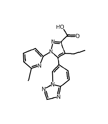 CCc1c(C(=O)O)nn(-c2cccc(C)n2)c1-c1ccc2ncnn2c1